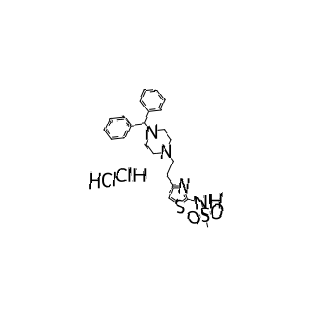 CS(=O)(=O)Nc1nc(CCN2CCN(C(c3ccccc3)c3ccccc3)CC2)cs1.Cl.Cl